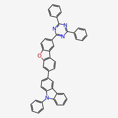 c1ccc(-c2nc(-c3ccccc3)nc(-c3ccc4oc5cc(-c6ccc7c(c6)c6ccccc6n7-c6ccccc6)ccc5c4c3)n2)cc1